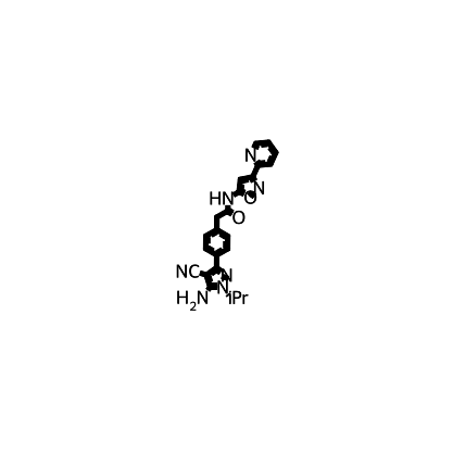 CC(C)n1nc(-c2ccc(CC(=O)Nc3cc(-c4ccccn4)no3)cc2)c(C#N)c1N